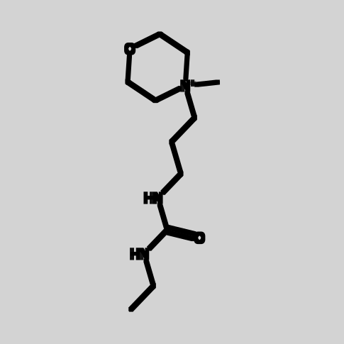 CCNC(=O)NCCC[N+]1(C)CCOCC1